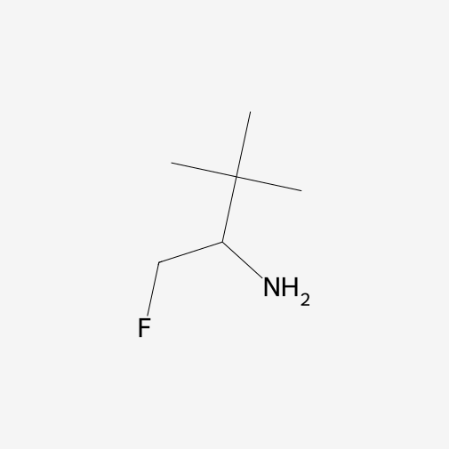 CC(C)(C)C(N)CF